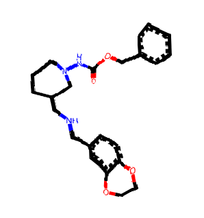 O=C(NN1CCCC(CNCc2ccc3c(c2)OCCO3)C1)OCc1ccccc1